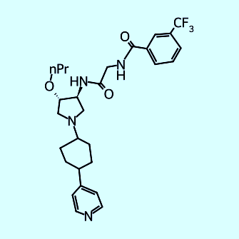 CCCO[C@H]1CN(C2CCC(c3ccncc3)CC2)C[C@@H]1NC(=O)CNC(=O)c1cccc(C(F)(F)F)c1